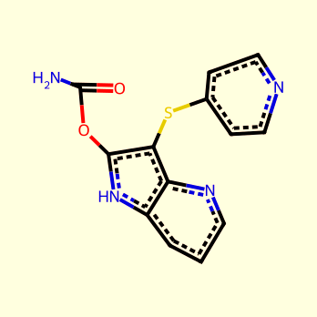 NC(=O)Oc1[nH]c2cccnc2c1Sc1ccncc1